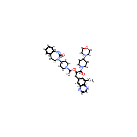 Cc1cc(CC(OC(=O)N2CCC(N3CCc4ccccc4NC3=O)CC2)C(=O)N2CCC(N3CCOCC3)CC2)cc2nccnc12